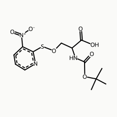 CC(C)(C)OC(=O)NC(COSc1ncccc1[N+](=O)[O-])C(=O)O